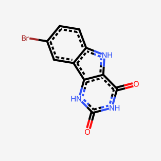 O=c1[nH]c(=O)c2[nH]c3ccc(Br)cc3c2[nH]1